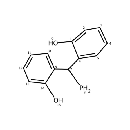 Oc1ccccc1C(P)c1ccccc1O